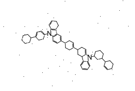 C1=CC(C2CCCC(N3C4=CCC(C5=CCC(c6ccc7c(c6)c6c(n7C7=CC=C(C8CCCCC8)CC7)C=CCC6)CC5)CC4c4ccccc43)C2)CCC1